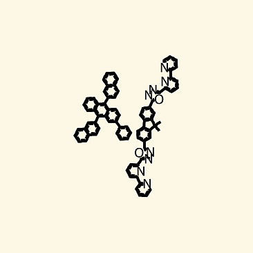 CC1(C)c2cc(-c3nnc(-c4cccc(-c5ccccn5)n4)o3)ccc2-c2ccc(-c3nnc(-c4cccc(-c5ccccn5)n4)o3)cc21.c1ccc(-c2ccc3c(-c4ccc5ccccc5c4)c4ccccc4c(-c4ccc5ccccc5c4)c3c2)cc1